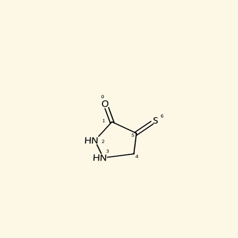 O=C1NNCC1=S